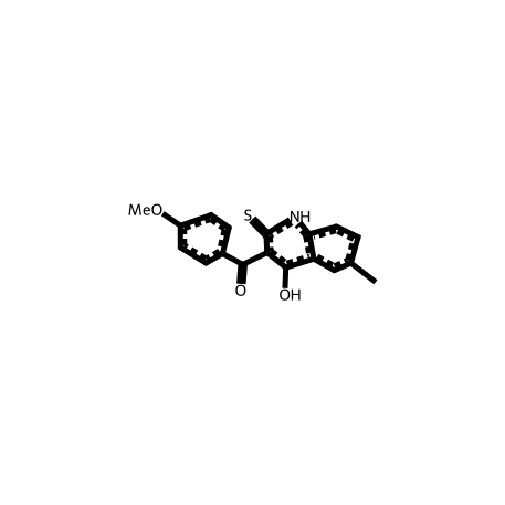 COc1ccc(C(=O)c2c(O)c3cc(C)ccc3[nH]c2=S)cc1